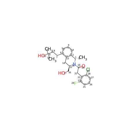 C[C@H]1c2cccc(CCC(C)(C)O)c2C[C@H](CO)N1C(=O)Cc1c(F)cccc1Cl